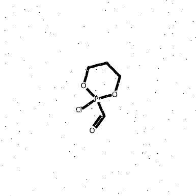 O=C[P]1(Cl)OCCCO1